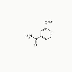 COc1[c]ccc([N+](N)=O)c1